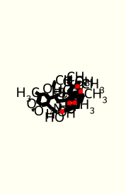 CCCOc1c(C)c2c(c3c1[C@H]1SC[C@]4(NCCc5cc(O)c(OC)cc54)C(=O)OC[C@@H]3N3C1[C@H]1c4c(cc(C)c(OC)c4O)C[C@@H]([C@@H]3O)N1C)OCO2